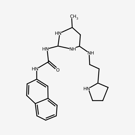 CC1CC(NCCC2CCCN2)NC(NC(=O)Nc2ccc3ccccc3c2)N1